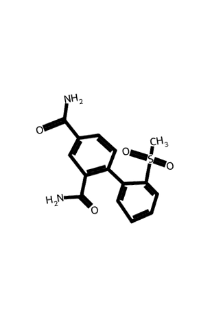 CS(=O)(=O)c1ccccc1-c1ccc(C(N)=O)cc1C(N)=O